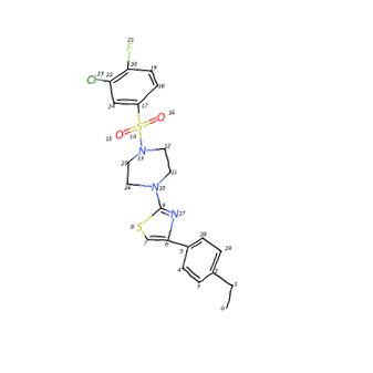 CCc1ccc(-c2csc(N3CCN(S(=O)(=O)c4ccc(F)c(Cl)c4)CC3)n2)cc1